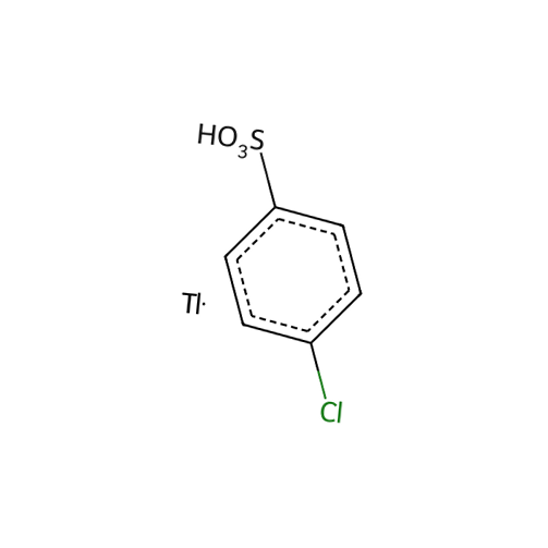 O=S(=O)(O)c1ccc(Cl)cc1.[Tl]